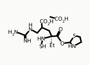 CC(=O)O.CC[C@@](CC(CNC(=N)N)C(=O)O)(NS)C(=O)OC1NCCS1